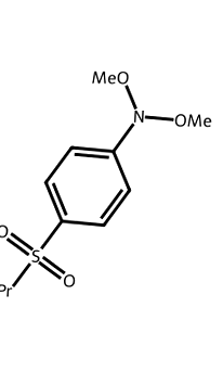 CON(OC)c1ccc(S(=O)(=O)C(C)C)cc1